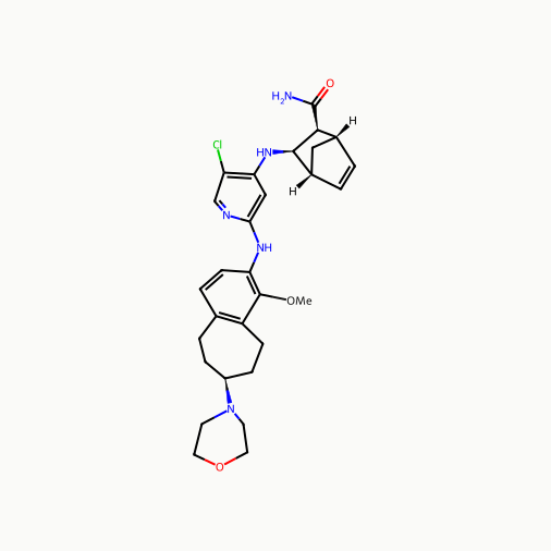 COc1c(Nc2cc(N[C@H]3[C@@H](C(N)=O)[C@@H]4C=C[C@H]3C4)c(Cl)cn2)ccc2c1CC[C@@H](N1CCOCC1)CC2